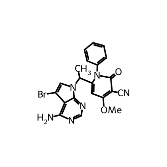 COc1cc(C(C)n2cc(Br)c3c(N)ncnc32)n(-c2ccccc2)c(=O)c1C#N